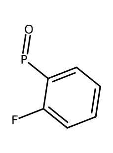 O=Pc1ccccc1F